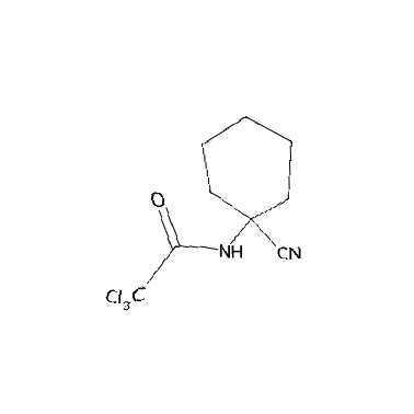 N#CC1(NC(=O)C(Cl)(Cl)Cl)CCCCC1